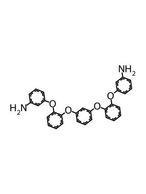 Nc1cccc(Oc2ccccc2Oc2cccc(Oc3ccccc3Oc3cccc(N)c3)c2)c1